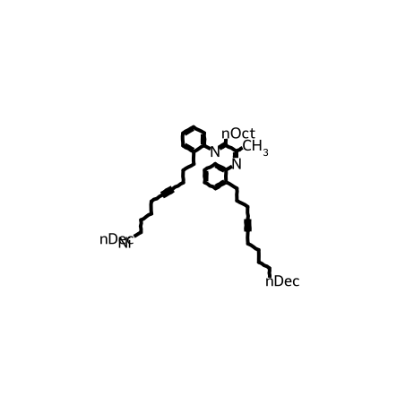 CCCCCCCCCCCCCCC#CCCCc1ccccc1N=C(C)C(CCCCCCCC)=Nc1ccccc1CCCC#CCCCCCCCCCCCCCC.[Ni]